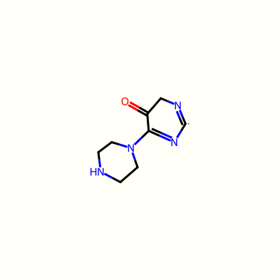 O=C1CN=[C]N=C1N1CCNCC1